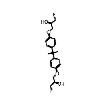 CC(C)(c1ccc(OCC(O)CF)cc1)C1C=CC(OCC(O)CF)=CC1